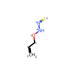 C=CCONN=S